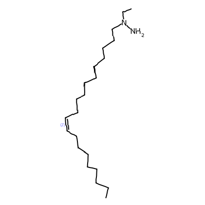 CCCCCCCC/C=C\CCCCCCCCCCN(N)CC